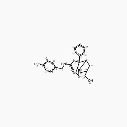 Cc1cnc(CNC(=O)CC2(c3ccccc3)C3CC4CC2CC(C3)C4O)cn1